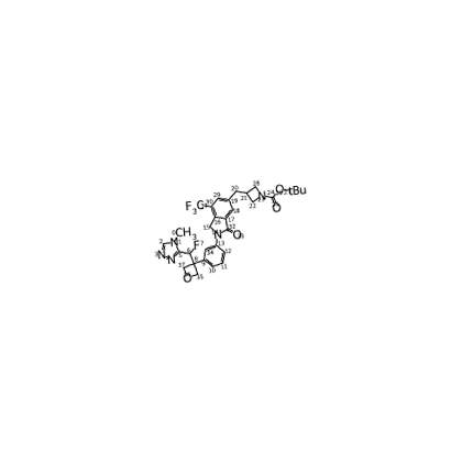 Cn1cnnc1C(F)C1(c2cccc(N3Cc4c(cc(CC5CN(C(=O)OC(C)(C)C)C5)cc4C(F)(F)F)C3=O)c2)COC1